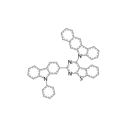 c1ccc(-n2c3ccccc3c3ccc(-c4nc(-n5c6ccccc6c6cc7ccccc7cc65)c5c(n4)sc4ccccc45)cc32)cc1